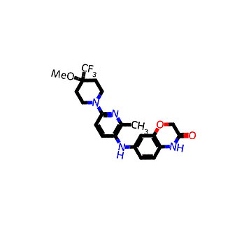 COC1(C(F)(F)F)CCN(c2ccc(Nc3ccc4c(c3)OCC(=O)N4)c(C)n2)CC1